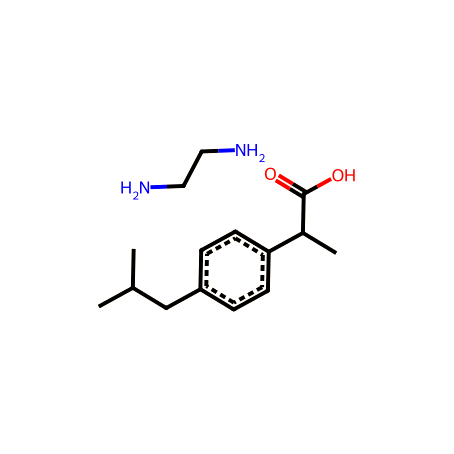 CC(C)Cc1ccc(C(C)C(=O)O)cc1.NCCN